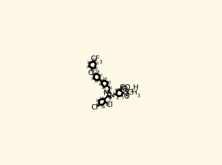 CS(=O)(=O)c1ccc(-n2cc(-c3ccc(Cl)cc3Cl)nc2Cc2ccc(-c3ccc(Oc4ccc(C(F)(F)F)cc4)cc3)cc2)cc1C(=O)O